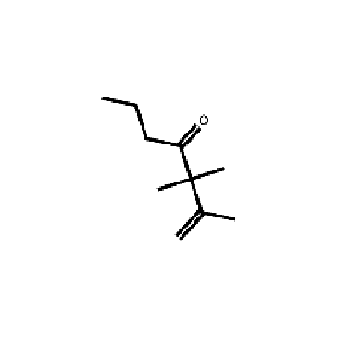 C=C(C)C(C)(C)C(=O)CCC